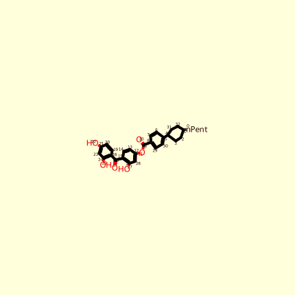 CCCCCC1CCC(c2ccc(C(=O)Oc3ccc(C(=O)c4ccc(O)cc4O)c(O)c3)cc2)CC1